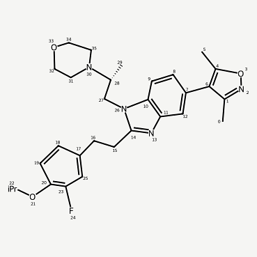 Cc1noc(C)c1-c1ccc2c(c1)nc(CCc1ccc(OC(C)C)c(F)c1)n2C[C@@H](C)N1CCOCC1